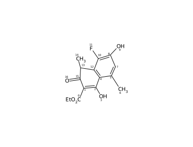 CCOC(=O)C1=C(O)c2c(C)cc(O)c(F)c2C(C)C1=O